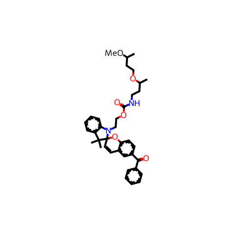 COC(C)CCOC(C)CCNC(=O)OCCN1c2ccccc2C(C)(C)C12C=Cc1cc(C(=O)c3ccccc3)ccc1O2